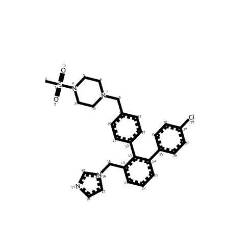 CS(=O)(=O)N1CCN(Cc2ccc(-c3c(Cn4ccnc4)cccc3-c3ccc(Cl)cc3)cc2)CC1